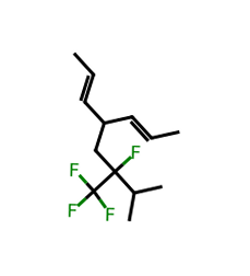 CC=CC(C=CC)CC(F)(C(C)C)C(F)(F)F